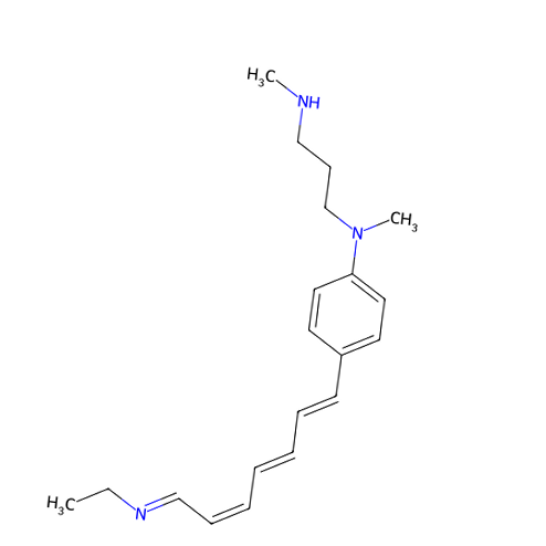 CC/N=C/C=C\C=C\C=C\c1ccc(N(C)CCCNC)cc1